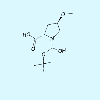 CO[C@@H]1C[C@@H](C(=O)O)N(C(O)OC(C)(C)C)C1